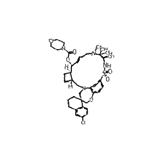 CCN1C/C=C/[C@H](OC(=O)N2CCOCC2)[C@@H]2CC[C@H]2CN2C[C@@]3(CCCc4cc(Cl)ccc43)COc3ccc(cc32)S(=O)(=O)NC(=O)C1(C)C